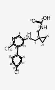 O=C(O)NCC1(CNc2cnc(Cl)c(-c3ccc(Cl)cc3)c2)CC1